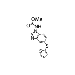 COC(=O)Nn1cnc2cc(Sc3cccs3)ccc21